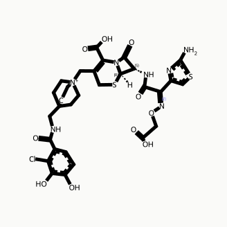 Nc1nc(/C(=N/OCC(=O)O)C(=O)N[C@H]2C(=O)N3C(C(=O)O)=C(C[N+]45CCC(CNC(=O)c6ccc(O)c(O)c6Cl)(CC4)CC5)CS[C@H]23)cs1